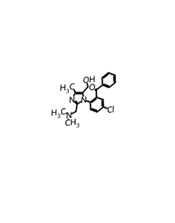 Cc1nc(CN(C)C)n(-c2ccc(Cl)cc2C(=O)c2ccccc2)c1CO